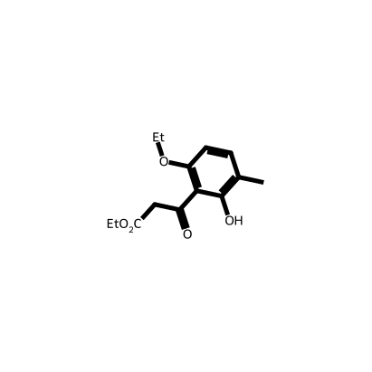 CCOC(=O)CC(=O)c1c(OCC)ccc(C)c1O